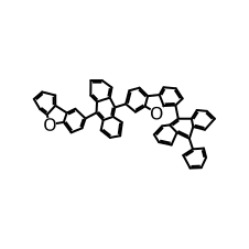 c1ccc(-c2c3ccccc3c(-c3cccc4c3oc3cc(-c5c6ccccc6c(-c6ccc7oc8ccccc8c7c6)c6ccccc56)ccc34)c3ccccc23)cc1